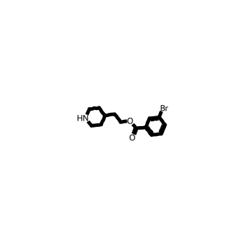 O=C(OCCC1CCNCC1)c1cccc(Br)c1